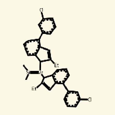 CCC1=Cc2c(-c3cccc(Cl)c3)cccc2[CH]1[Zr]([CH]1C(CC)=Cc2c(-c3cccc(Cl)c3)cccc21)=[Si](C)C